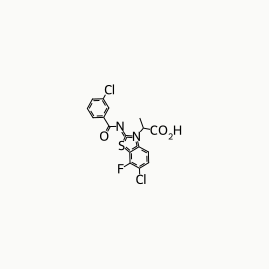 CC(C(=O)O)n1c(=NC(=O)c2cccc(Cl)c2)sc2c(F)c(Cl)ccc21